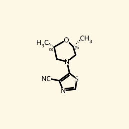 C[C@@H]1CN(c2scnc2C#N)C[C@H](C)O1